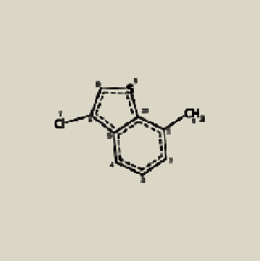 Cc1cccc2c(Cl)csc12